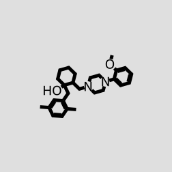 COc1ccccc1N1CCN(CC2CCCCC2(O)Cc2cc(C)ccc2C)CC1